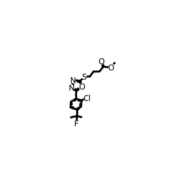 COC(=O)CCCSc1nnc(-c2ccc(C(C)(C)F)cc2Cl)o1